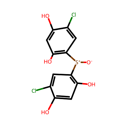 [O-][S+](c1cc(Cl)c(O)cc1O)c1cc(Cl)c(O)cc1O